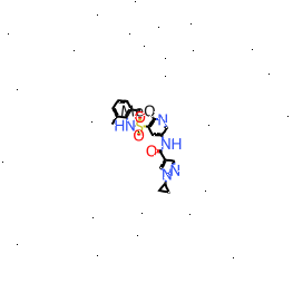 COc1ncc(NC(=O)c2cnn(C3CC3)c2)cc1S(=O)(=O)Nc1c(C)cccc1C